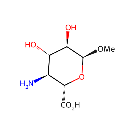 CO[C@H]1O[C@H](C(=O)O)[C@@H](N)[C@H](O)[C@H]1O